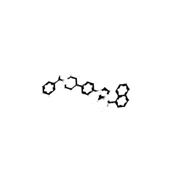 CCOC(=O)C(c1ccccc1)N1CCC(c2ccc(-n3ccn([C@H](C)c4cccc5ccccc45)c3=O)cc2)CC1